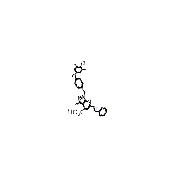 Cc1cc(Oc2ccc(Cn3nc(C)c4c(C(=O)O)cc(/C=C/c5ccccc5)nc43)cc2)cc(C)c1Cl